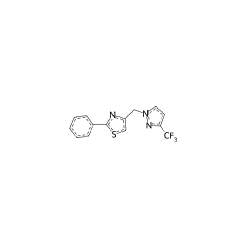 FC(F)(F)c1ccn(Cc2csc(-c3ccccc3)n2)n1